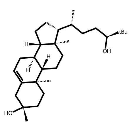 C[C@H](CC[C@H](O)C(C)(C)C)[C@H]1CC[C@H]2[C@@H]3CC=C4C[C@@](C)(O)CC[C@]4(C)[C@H]3CC[C@]12C